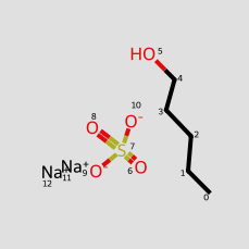 CCCCCO.O=S(=O)([O-])[O-].[Na+].[Na+]